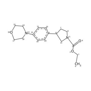 CCOC(=O)N1CCC(c2ccc(N3CCOCC3)cc2)C1